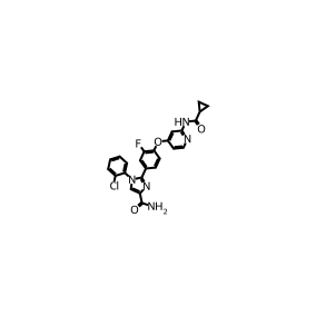 NC(=O)c1cn(-c2ccccc2Cl)c(-c2ccc(Oc3ccnc(NC(=O)C4CC4)c3)c(F)c2)n1